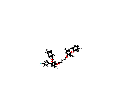 CCCc1c(OCCCCCOc2cc(OCc3ccccc3)c(-c3ccc(F)cc3)cc2CC)cccc1Oc1ccccc1C(=O)O